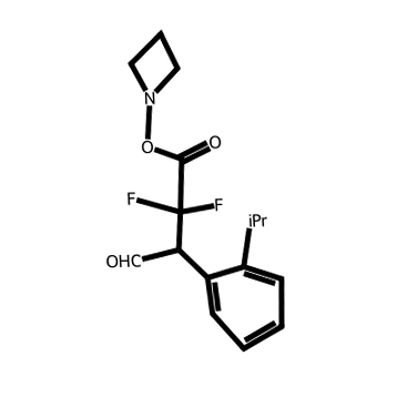 CC(C)c1ccccc1C(C=O)C(F)(F)C(=O)ON1CCC1